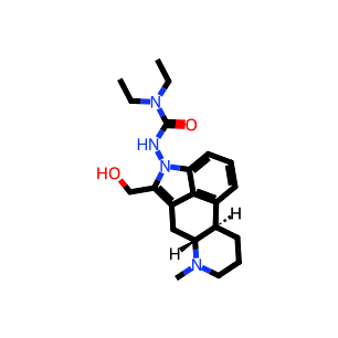 CCN(CC)C(=O)Nn1c(CO)c2c3c(cccc31)[C@H]1CCCN(C)[C@@H]1C2